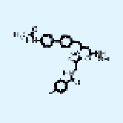 CC(=O)Nc1ccc(-c2ccc(CC(CC(=O)NO)n3cc(CNC(=O)c4ccc(F)cc4)nn3)cc2)cc1